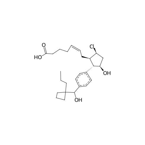 CCCC1(C(O)c2ccc([C@@H]3[C@@H](C/C=C\CCCC(=O)O)[C@@H](Cl)C[C@H]3O)cc2)CCC1